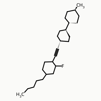 CCCCCC1CCC(C#C[C@H]2CC[C@H]([C@H]3CC[C@H](C)CC3)CC2)C(F)C1